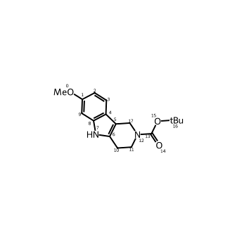 COc1ccc2c3c([nH]c2c1)CCN(C(=O)OC(C)(C)C)C3